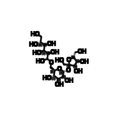 OC[C@@H](O)[C@@H](O)[C@H](O)[C@@H](O)C(O)OC[C@H]1O[C@H](O[C@]2(CO)O[C@H](CO)[C@@H](O)[C@@H]2O)[C@H](O)[C@@H](O)[C@@H]1O